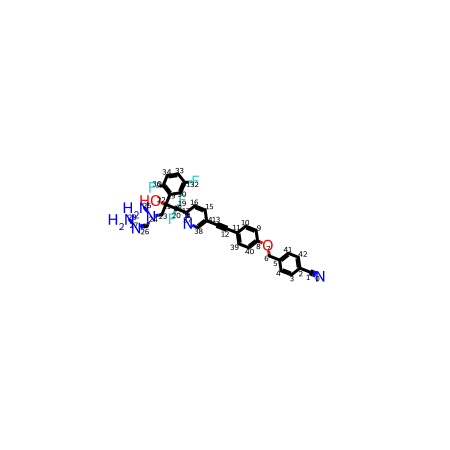 N#Cc1ccc(COc2ccc(C#Cc3ccc(C(F)(F)C(O)(CN(N)/C=N\N)c4cc(F)ccc4F)nc3)cc2)cc1